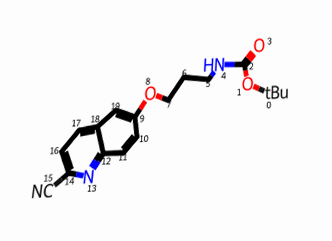 CC(C)(C)OC(=O)NCCCOc1ccc2nc(C#N)ccc2c1